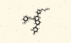 Cn1cc(-c2ccc3nc(-c4cnn(CCO)c4)nc(NCc4cncc(Cl)c4)c3c2)ccc1=O